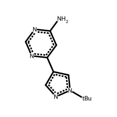 CC(C)(C)n1cc(-c2cc(N)ncn2)cn1